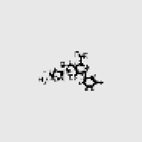 CCC1(C)CC(S(=O)(=O)Cc2c(C(F)F)nn(-c3cccc(F)c3)c2Cl)=NO1